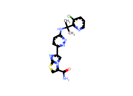 CC(C)(Nc1ccc(-c2cn3c(C(N)=O)csc3n2)nn1)c1ncccc1Cl